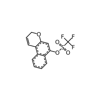 O=S(=O)(Oc1cc2c(c3ccccc13)C=CCO2)C(F)(F)F